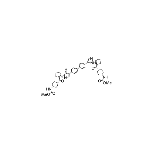 COC(=O)N[C@H]1CC[C@@H](C(=O)N2CCC[C@H]2c2ncc(-c3ccc(-c4ccc(-c5cnc([C@@H]6CCCN6C(=O)[C@H]6CC[C@@H](NC(=O)OC)CC6)[nH]5)cc4)cc3)[nH]2)CC1